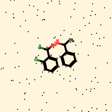 CC(O)c1ccccc1.OC(Cl)c1ccccc1Cl